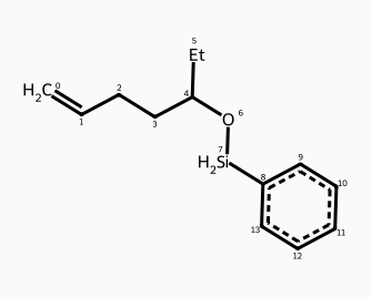 C=CCCC(CC)O[SiH2]c1ccccc1